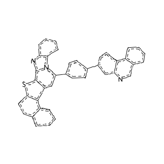 c1ccc2c(c1)cnc1cc(-c3ccc(-c4cc5c(sc6ccc7ccccc7c65)c5nc6ccccc6n45)cc3)ccc12